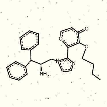 CCCCOc1c(-c2nccn2C[C@@H](N)C(c2ccccc2)c2ccccc2)occc1=O